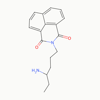 CCC(N)CCCN1C(=O)c2cccc3cccc(c23)C1=O